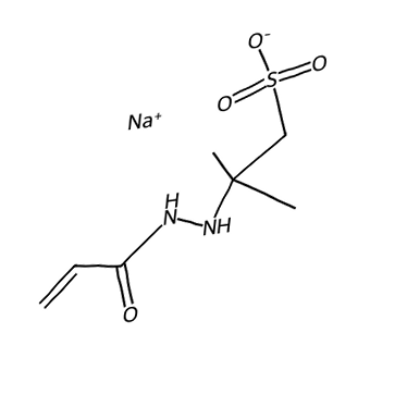 C=CC(=O)NNC(C)(C)CS(=O)(=O)[O-].[Na+]